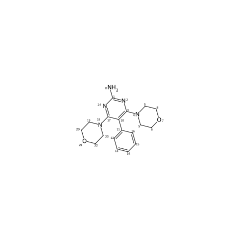 Nc1nc(N2CCOCC2)c(-c2ccccc2)c(N2CCOCC2)n1